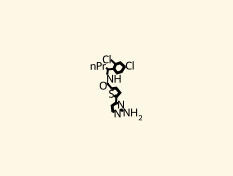 CCCC(CNC(=O)c1ccc(-c2ccnc(N)n2)s1)c1ccc(Cl)cc1Cl